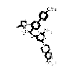 COc1ccc(-c2ccc(C(Oc3cc(N4CCC5(CC4)CN[C@H](C(=O)O)C5)nc(N)n3)C(F)(F)F)c(-n3ccc(C)n3)c2)cc1